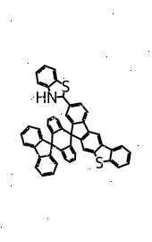 c1ccc2c(c1)NC(c1ccc3c(c1)C1(c4cc5sc6ccccc6c5cc4-3)c3ccccc3C3(c4ccccc4-c4ccccc43)c3ccccc31)S2